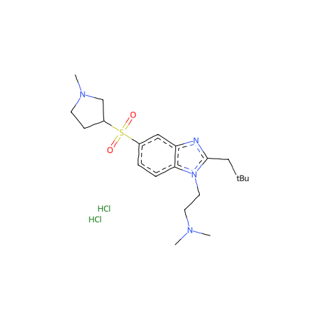 CN(C)CCn1c(CC(C)(C)C)nc2cc(S(=O)(=O)C3CCN(C)C3)ccc21.Cl.Cl